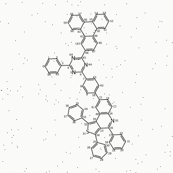 c1ccc(-c2nc(-c3ccc(-c4ccc5nc(-c6ccccc6)c6c(-c7ccccc7)sc(-c7ccccc7)c6c5c4)cc3)nc(-c3ccc4c5ccccc5c5ccccc5c4c3)n2)cc1